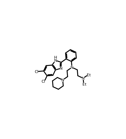 CCN(CC)CCN(CCN1CCCCC1)c1ccccc1-c1nc2cc(Cl)c(Cl)cc2[nH]1